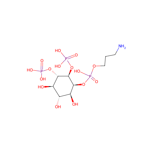 NCCCOP(=O)(O)O[C@H]1[C@@H](O)[C@H](O)[C@@H](O)[C@H](OP(=O)(O)O)[C@H]1OP(=O)(O)O